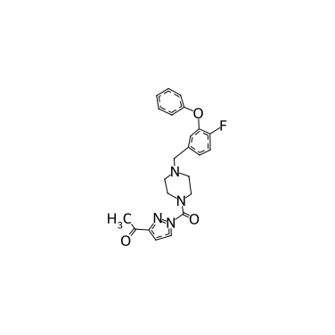 CC(=O)c1ccn(C(=O)N2CCN(Cc3ccc(F)c(Oc4ccccc4)c3)CC2)n1